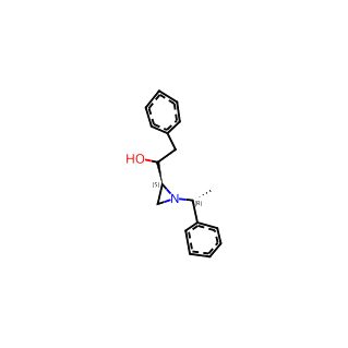 C[C@H](c1ccccc1)N1C[C@H]1C(O)Cc1ccccc1